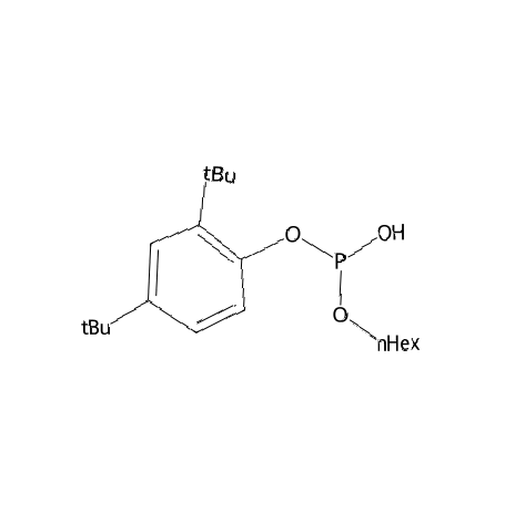 CCCCCCOP(O)Oc1ccc(C(C)(C)C)cc1C(C)(C)C